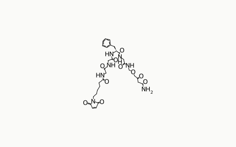 NC(=O)CC(=O)COCNC(=O)CNC(=O)[C@H](Cc1ccccc1)NC(=O)CNC(=O)CNC(=O)CCCCCN1C(=O)C=CC1=O